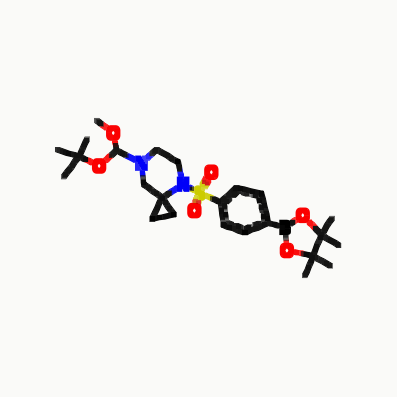 COC(OC(C)(C)C)N1CCN(S(=O)(=O)c2ccc(B3OC(C)(C)C(C)(C)O3)cc2)C2(CC2)C1